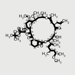 C=CC[C@@H]1/C=C(\C)C[C@H](C)C[C@H](OC)[C@H]2O[C@@](NCC(=O)OC(C)(C)C)(C(=O)C(=O)N3CCCC[C@H]3C(=O)O[C@H](/C(C)=C/[C@H](C)C[C@H](C)OC)[C@H](C)[C@@H](O)CC1=O)[C@H](C)C[C@@H]2OC